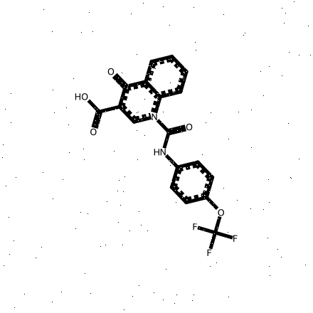 O=C(O)c1cn(C(=O)Nc2ccc(OC(F)(F)F)cc2)c2ccccc2c1=O